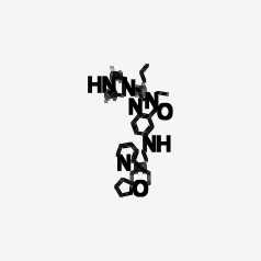 CCC[C@H](c1nc2ccc(NCC[C@]3(c4ccccn4)CCOC4(CCCC4)C3)cc2c(=O)n1CC)N1C[C@@H](C)N[C@@H](C)C1